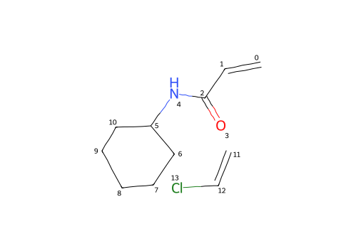 C=CC(=O)NC1CCCCC1.C=CCl